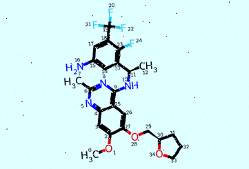 COc1cc2nc(C)nc(N[C@H](C)c3cc(N)cc(C(F)(F)F)c3F)c2cc1OC[C@H]1CCCO1